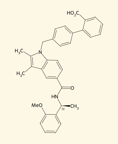 COc1ccccc1[C@H](C)NC(=O)c1ccc2c(c1)c(C)c(C)n2Cc1ccc(-c2ccccc2C(=O)O)cc1